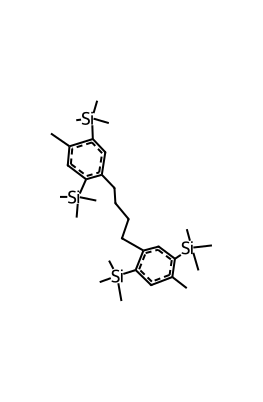 Cc1cc([Si](C)(C)C)c(CCCCc2cc([Si](C)(C)C)c(C)cc2[Si](C)(C)C)cc1[Si](C)(C)C